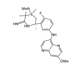 CNS1(C)C[C@@](C)(c2cc(Nc3ccnc4cc(OC)cnc34)ccc2F)NC(=N)C1(C)C